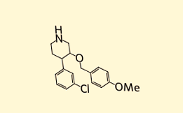 COc1ccc(COC2CNCCC2c2cccc(Cl)c2)cc1